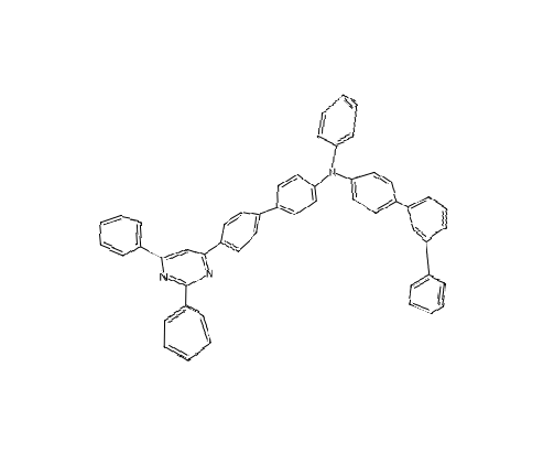 c1ccc(-c2cccc(-c3ccc(N(c4ccccc4)c4ccc(-c5ccc(-c6cc(-c7ccccc7)nc(-c7ccccc7)n6)cc5)cc4)cc3)c2)cc1